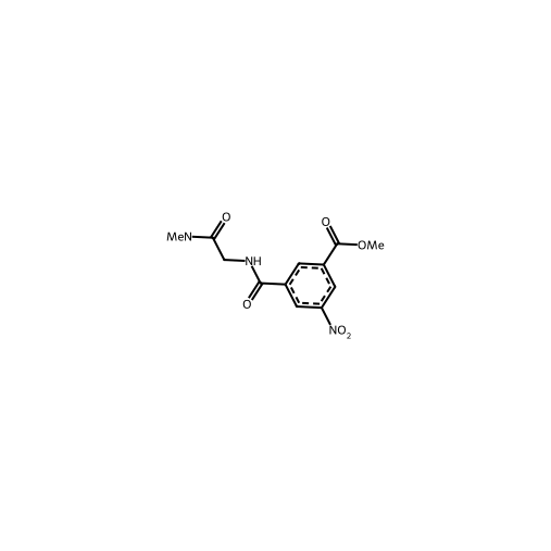 CNC(=O)CNC(=O)c1cc(C(=O)OC)cc([N+](=O)[O-])c1